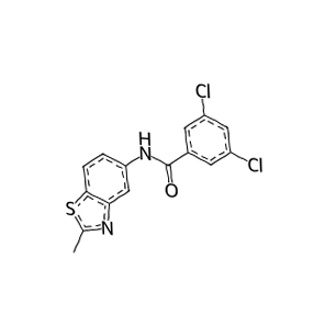 Cc1nc2cc(NC(=O)c3cc(Cl)cc(Cl)c3)ccc2s1